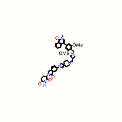 COc1cc(-c2cn(C)c(=O)c3ccccc23)cc(OC)c1CN1CC(CN2CCC3(CC2)CN(c2ccc4c(c2)C(=O)N(C2CCC(=O)NC2=O)C4)C3)C1